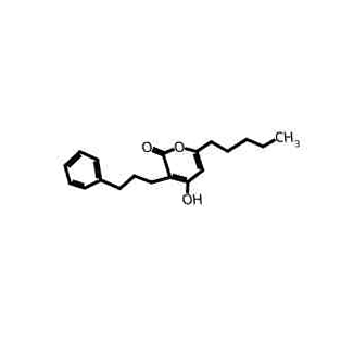 CCCCCc1cc(O)c(CCCc2ccccc2)c(=O)o1